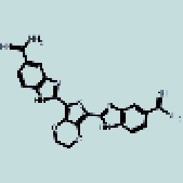 N=C(N)c1ccc2[nH]c(-c3sc(-c4nc5cc(C(=N)N)ccc5[nH]4)c4c3OCCO4)nc2c1